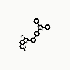 Cc1ccc2ccc3c(C(C)C)cc(-c4cccc(-c5ccc(-c6nc(-c7ccccc7)cc(-c7ccccc7)n6)cc5)c4)nc3c2n1